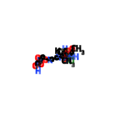 CCc1cc(Nc2ncc(Cl)c(Nc3ccc(OC)cc3NS(C)(=O)=O)n2)c(OC)cc1N1CCC(C2CCN(CCOc3cccc4c3CN(C3CCC(=O)NC3=O)C4=O)CC2)CC1